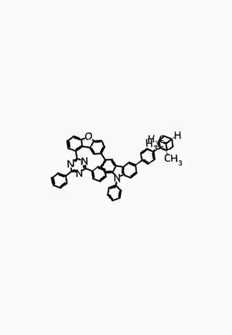 CC1(C)[C@H]2CCC(c3ccc(-c4ccc5c(c4)c4cc(-c6ccc7oc8cccc(-c9nc(-c%10ccccc%10)nc(-c%10ccccc%10)n9)c8c7c6)ccc4n5-c4ccccc4)cc3)[C@]1(C)C2